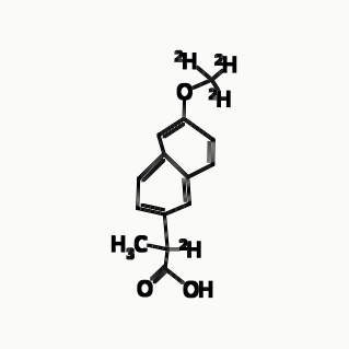 [2H]C([2H])([2H])Oc1ccc2cc(C([2H])(C)C(=O)O)ccc2c1